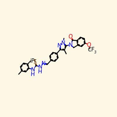 Cc1ccc(C(C)C)c(NC(=S)N/N=C/c2ccc(-c3nn(C)c(N4Cc5cc(OC(F)(F)F)ccc5C4=O)c3C)cc2)c1